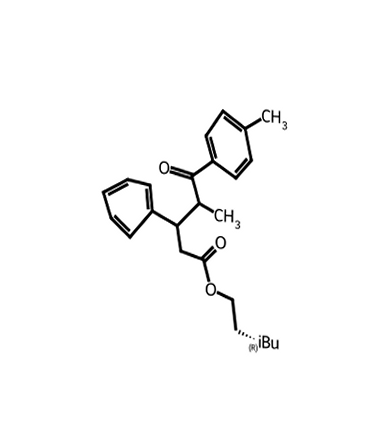 CC[C@@H](C)CCOC(=O)CC(c1ccccc1)C(C)C(=O)c1ccc(C)cc1